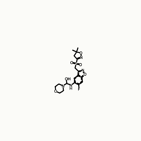 CC1(C)CC(S(=O)(=O)Cc2noc3cc(F)c(NC(O)N4CCOCC4)cc23)=NO1